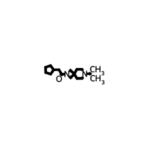 CC(C)N1CCC2(CC1)CN(C(=O)CC1CCCC1)C2